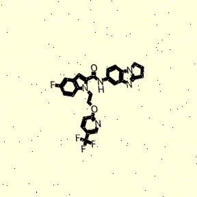 O=C(Nc1ccc2c(c1)nc1n2CCC1)c1cc2cc(F)ccc2n1CCOc1ccc(C(F)(F)F)cn1